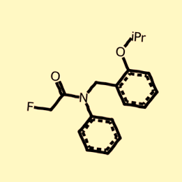 CC(C)Oc1ccccc1CN(C(=O)CF)c1ccccc1